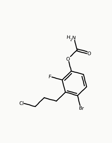 NC(=O)Oc1ccc(Br)c(CCCCl)c1F